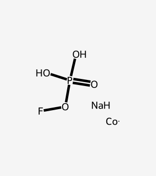 O=P(O)(O)OF.[Co].[NaH]